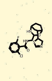 O=C(NCC1NC2CCC(O1)C(C1CN=CS1)C2)c1c(F)cccc1Cl